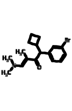 C/C(=C\N(C)C)C(=O)C(c1cccc(Br)c1)C1CCC1